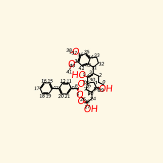 CCCC(=C(O)[C@]1(OC(=O)c2ccc(-c3ccccc3)cc2)C[C@H](CC(=O)O)[C@H](O)C1)C1CCc2cc(OC)c(OC)cc21